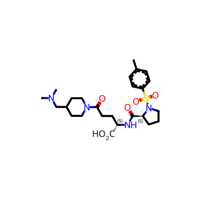 Cc1ccc(S(=O)(=O)N2CCC[C@H]2C(=O)N[C@@H](CCC(=O)N2CCC(CN(C)C)CC2)C(=O)O)cc1